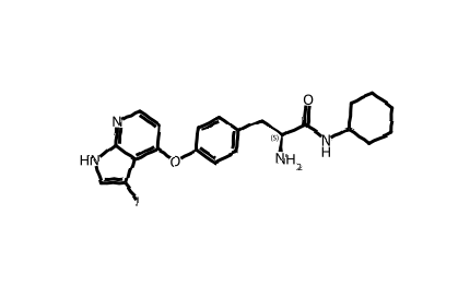 N[C@@H](Cc1ccc(Oc2ccnc3[nH]cc(I)c23)cc1)C(=O)NC1CCCCC1